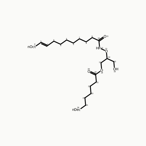 CCCCCCCCC=CCCCCCCCC(=O)POC(CO)COC(=O)CCCCCCCCCCCCCCC